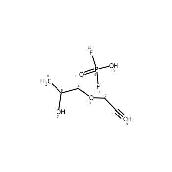 C#CCOCC(C)O.O=P(O)(F)F